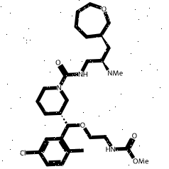 CN[C@@H](CNC(=O)N1CCC[C@@H](C(OCCNC(=O)OC)c2cc(Cl)ccc2C)C1)C[C@H]1CCCCOC1